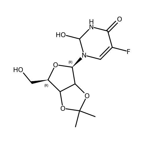 CC1(C)OC2C(O1)[C@@H](CO)O[C@H]2N1C=C(F)C(=O)NC1O